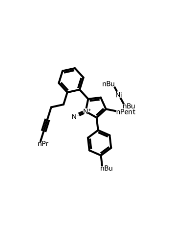 CCCC#CCCc1ccccc1C1=CC(CCCCC)=C(c2ccc(CCCC)cc2)[N+]1=[N-].CCC[CH2][Ni][CH2]CCC